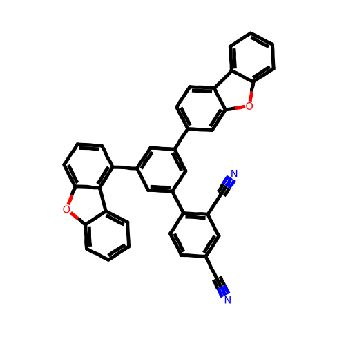 N#Cc1ccc(-c2cc(-c3ccc4c(c3)oc3ccccc34)cc(-c3cccc4oc5ccccc5c34)c2)c(C#N)c1